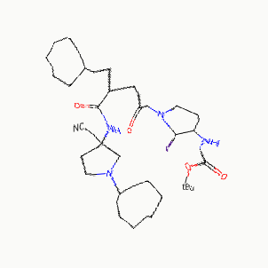 CC(C)(C)OC(=O)NC1CCN(C(=O)CC(CC2CCCCC2)C(=O)NC2(C#N)CCN(C3CCCCC3)C2)C1I